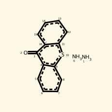 N.N.O=c1c2ccccc2sc2ccccc12